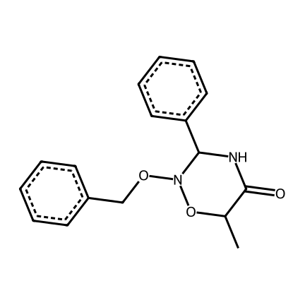 CC1ON(OCc2ccccc2)C(c2ccccc2)NC1=O